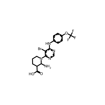 NC1C(C(=O)O)CCCN1c1ncnc(Nc2ccc(OC(F)(F)F)cc2)c1Br